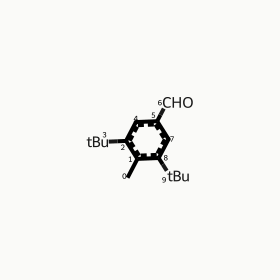 Cc1c(C(C)(C)C)cc(C=O)cc1C(C)(C)C